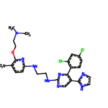 CN(C)CCOc1nc(NCCNc2ncc(-c3ncc[nH]3)c(-c3ccc(Cl)cc3Cl)n2)ccc1[N+](=O)[O-]